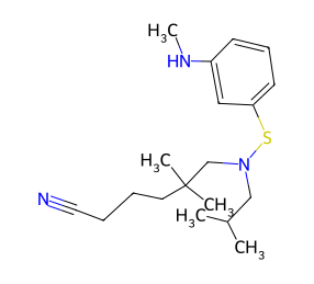 CNc1cccc(SN(CC(C)C)CC(C)(C)CCCC#N)c1